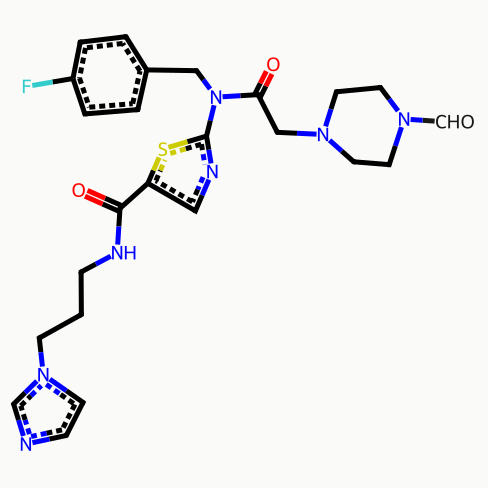 O=CN1CCN(CC(=O)N(Cc2ccc(F)cc2)c2ncc(C(=O)NCCCn3ccnc3)s2)CC1